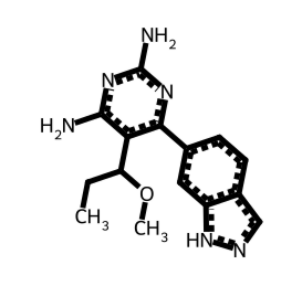 CCC(OC)c1c(N)nc(N)nc1-c1ccc2cn[nH]c2c1